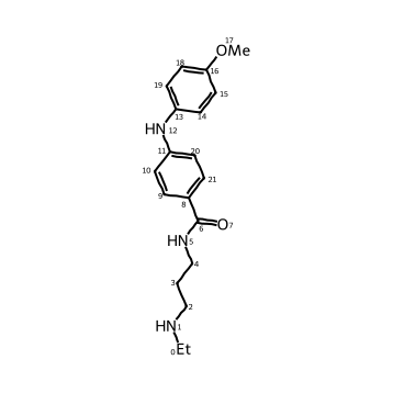 CCNCCCNC(=O)c1ccc(Nc2ccc(OC)cc2)cc1